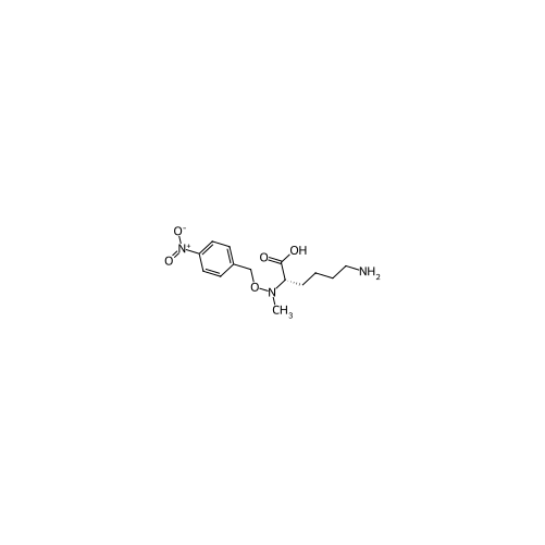 CN(OCc1ccc([N+](=O)[O-])cc1)[C@@H](CCCCN)C(=O)O